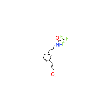 COCC=Cc1cccc(CCCNC(=O)C(F)(F)F)c1